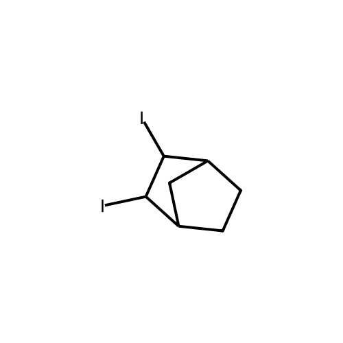 IC1C2CCC(C2)C1I